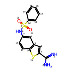 N=C(N)c1cc2cc(NS(=O)(=O)c3ccccc3)ccc2s1